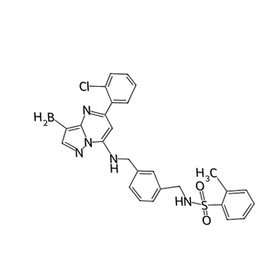 Bc1cnn2c(NCc3cccc(CNS(=O)(=O)c4ccccc4C)c3)cc(-c3ccccc3Cl)nc12